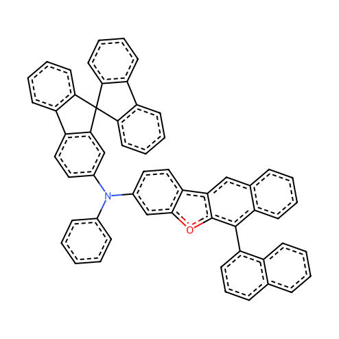 c1ccc(N(c2ccc3c(c2)C2(c4ccccc4-c4ccccc42)c2ccccc2-3)c2ccc3c(c2)oc2c(-c4cccc5ccccc45)c4ccccc4cc23)cc1